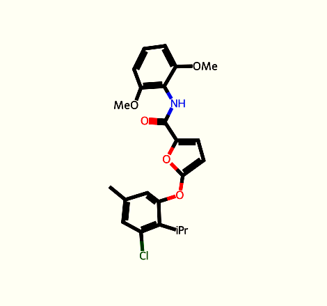 COc1cccc(OC)c1NC(=O)c1ccc(Oc2cc(C)cc(Cl)c2C(C)C)o1